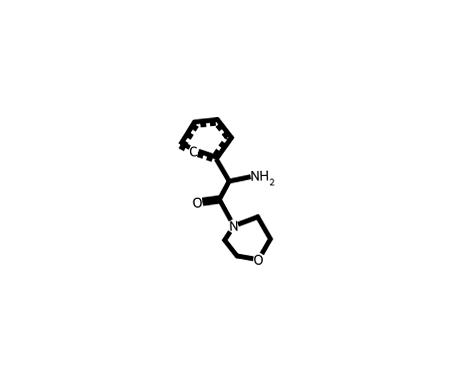 NC(C(=O)N1CCOCC1)c1ccccc1